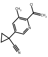 C=C(Cl)c1ncc(C2(C#N)CC2)cc1C